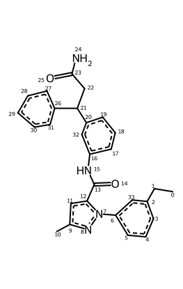 CCc1cccc(-n2nc(C)cc2C(=O)Nc2cccc(C(CC(N)=O)c3ccccc3)c2)c1